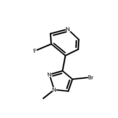 Cn1cc(Br)c(-c2ccncc2F)n1